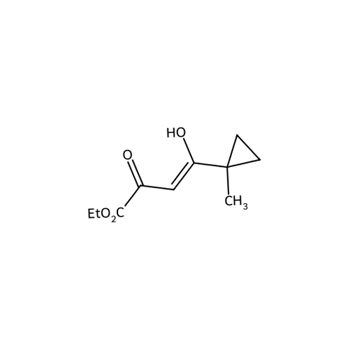 CCOC(=O)C(=O)/C=C(\O)C1(C)CC1